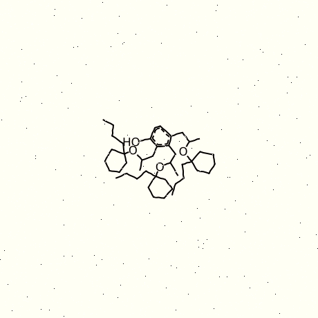 CCCCC1(OC(C)Cc2ccc(O)c(CC(C)OC3(CCCC)CCCCC3)c2CC(C)OC2(CCCC)CCCCC2)CCCCC1